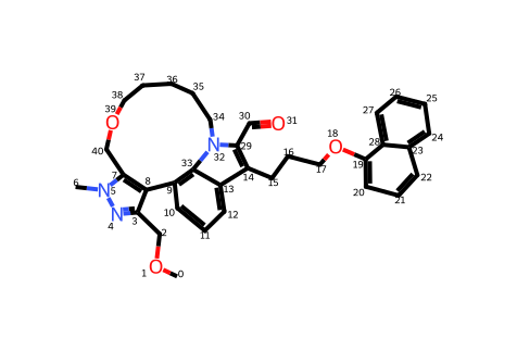 COCc1nn(C)c2c1-c1cccc3c(CCCOc4cccc5ccccc45)c(C=O)n(c13)CCCCCOC2